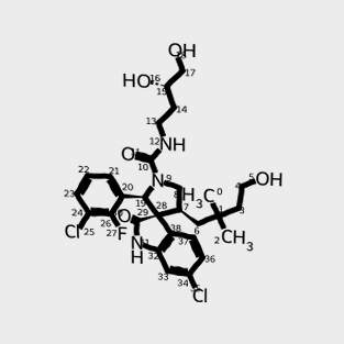 CC(C)(CCO)C[C@@H]1CN(C(=O)NCC[C@H](O)CO)[C@H](c2cccc(Cl)c2F)[C@]12C(=O)Nc1cc(Cl)ccc12